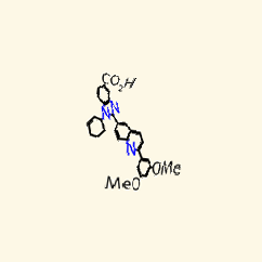 COc1cc(OC)cc(-c2ccc3cc(-c4nc5cc(C(=O)O)ccc5n4C4CCCCC4)ccc3n2)c1